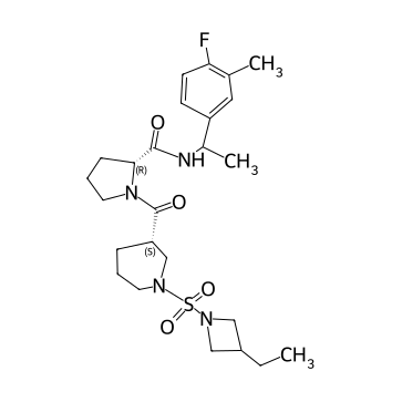 CCC1CN(S(=O)(=O)N2CCC[C@H](C(=O)N3CCC[C@@H]3C(=O)NC(C)c3ccc(F)c(C)c3)C2)C1